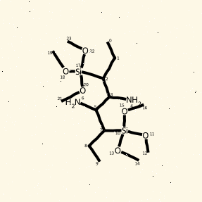 CCC(C(N)C(N)C(CC)[Si](OC)(OC)OC)[Si](OC)(OC)OC